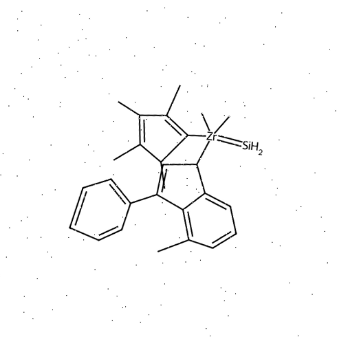 CC1=C(C)C(C)[C]([Zr]([CH3])([CH3])(=[SiH2])[CH]2C=C(c3ccccc3)c3c(C)cccc32)=C1C